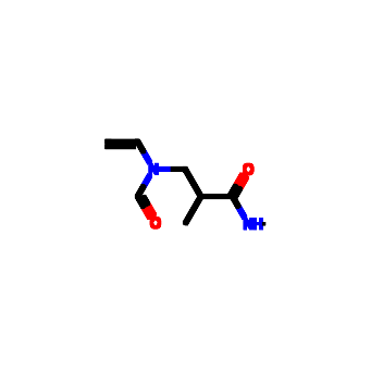 C=CN(C=O)CC(C)C([NH])=O